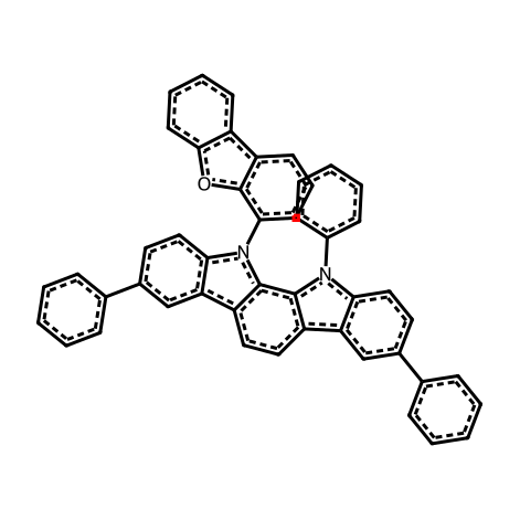 c1ccc(-c2ccc3c(c2)c2ccc4c5cc(-c6ccccc6)ccc5n(-c5cccc6c5oc5ccccc56)c4c2n3-c2ccccc2)cc1